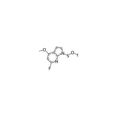 COc1cc(F)nc2c1ccn2SOI